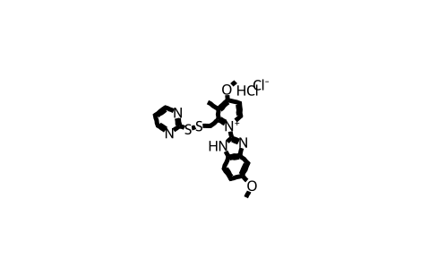 COc1ccc2[nH]c(-[n+]3ccc(OC)c(C)c3CSSc3ncccn3)nc2c1.Cl.[Cl-]